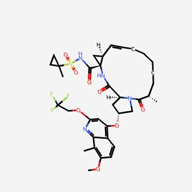 COc1ccc2c(O[C@@H]3C[C@H]4C(=O)N[C@]5(C(=O)NS(=O)(=O)C6(C)CC6)C[C@H]5/C=C\CCCCC[C@H](C)C(=O)N4C3)cc(OCC(F)(F)F)nc2c1C